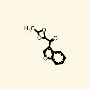 CC1OC(C(=O)c2coc3ccccc23)O1